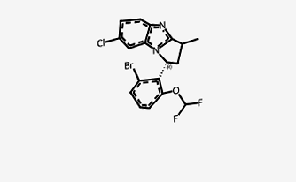 CC1C[C@H](c2c(Br)cccc2OC(F)F)n2c1nc1ccc(Cl)cc12